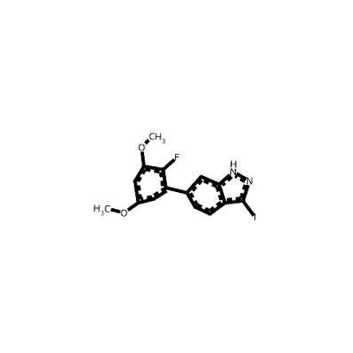 COc1cc(OC)c(F)c(-c2ccc3c(I)n[nH]c3c2)c1